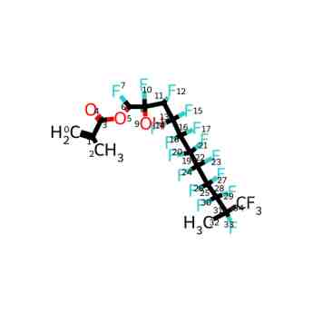 C=C(C)C(=O)OC(F)C(O)(F)C(F)C(F)(F)C(F)(F)C(F)(F)C(F)(F)C(F)(F)C(F)(F)C(C)(F)C(F)(F)F